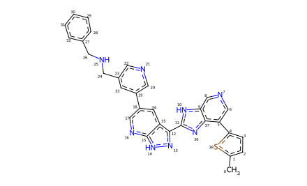 Cc1ccc(-c2cncc3[nH]c(-c4n[nH]c5ncc(-c6cncc(CNCc7ccccc7)c6)cc45)nc23)s1